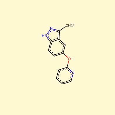 O=Cc1n[nH]c2ccc(Oc3ccccn3)cc12